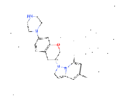 CC1=CC2=CCN([C@H]3COc4cc(N5CCNCC5)ccc4C3)N2C(C)=C1